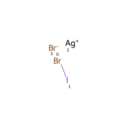 BrI.[Ag+].[Br-]